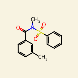 Cc1cccc(C(=O)N(C)S(=O)(=O)c2ccccc2)c1